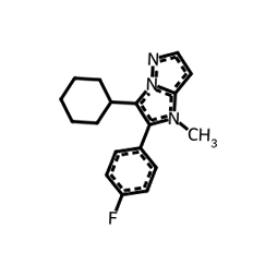 Cn1c(-c2ccc(F)cc2)c(C2CCCCC2)n2nccc12